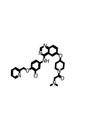 CN(C)CC(=O)N1CCC(Oc2ccc3ncnc(Nc4ccc(OCc5ccccn5)c(Cl)c4)c3c2)CC1